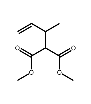 C=CC(C)C(C(=O)OC)C(=O)OC